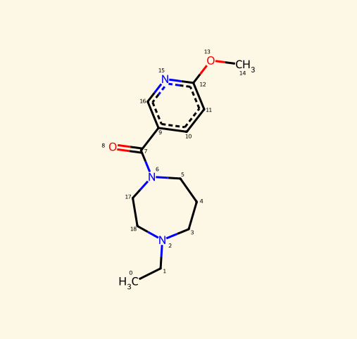 CCN1CCCN(C(=O)c2ccc(OC)nc2)CC1